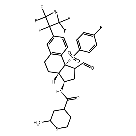 CC1CC(C(=O)N[C@@H]2CC(C=O)[C@]3(S(=O)(=O)c4ccc(F)cc4)c4ccc(C(F)(C(F)(F)F)C(F)(F)F)cc4CC[C@@H]23)CCS1